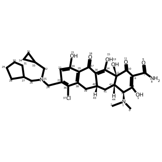 CN(C)[C@@H]1C(O)=C(C(N)=O)C(=O)[C@@]2(O)C(O)=C3C(=O)c4c(O)cc(CN(CC5CCCC5)CC5CC5)c(Cl)c4C[C@H]3C[C@@H]12